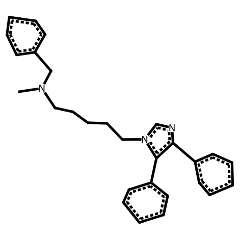 CN(CCCCCn1cnc(-c2ccccc2)c1-c1ccccc1)Cc1ccccc1